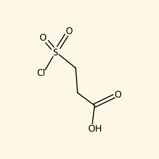 O=C(O)CCS(=O)(=O)Cl